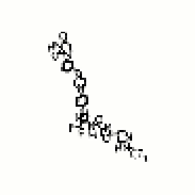 O=C1CCN(c2cccc(CN3CCN(c4ccc(-n5cc(NC(=O)c6coc(-c7ccnc(NCC(F)(F)F)c7)n6)c(C(F)F)n5)cc4)CC3)c2)C(=O)N1